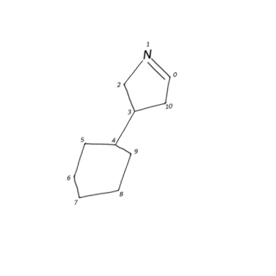 C1=NCC(C2CCCCC2)C1